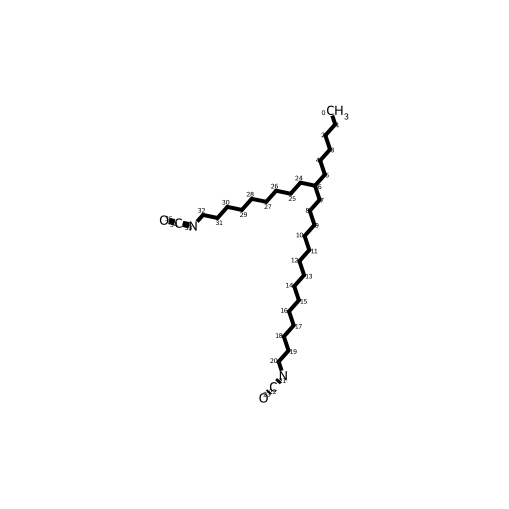 CCCCCCC(CCCCCCCCCCCCCCN=C=O)CCCCCCCCCN=C=O